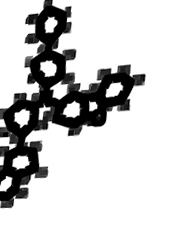 c1ccc(-c2ccc(N(c3cccc(-c4ccc5ccccc5c4)c3)c3ccc4oc5ccccc5c4c3)cc2)cc1